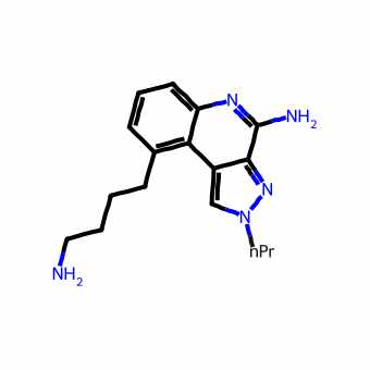 CCCn1cc2c(n1)c(N)nc1cccc(CCCCN)c12